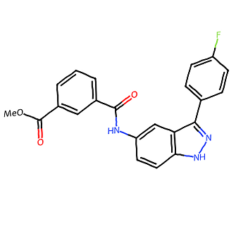 COC(=O)c1cccc(C(=O)Nc2ccc3[nH]nc(-c4ccc(F)cc4)c3c2)c1